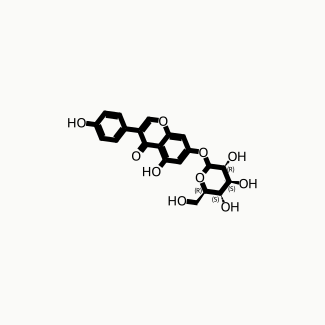 O=c1c(-c2ccc(O)cc2)coc2cc(OC3O[C@H](CO)[C@@H](O)[C@H](O)[C@H]3O)cc(O)c12